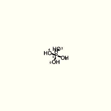 O[PH](O)(O)O